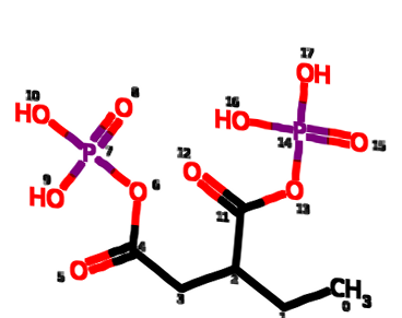 CCC(CC(=O)OP(=O)(O)O)C(=O)OP(=O)(O)O